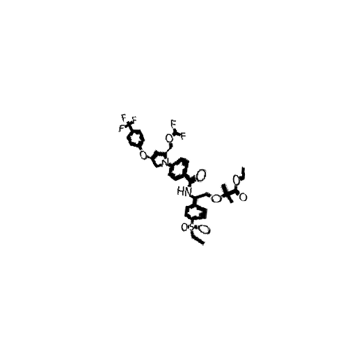 CCOC(=O)C(C)(C)OCC(NC(=O)c1ccc(N2C[C@@H](Oc3ccc(C(F)(F)F)cc3)C[C@H]2COC(F)F)cc1)c1ccc(S(=O)(=O)CC)cc1